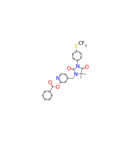 CC1(C)C(=O)N(c2ccc(SC(F)(F)F)cc2)C(=O)N1Cc1ccnc(OC(=O)c2ccccc2)c1